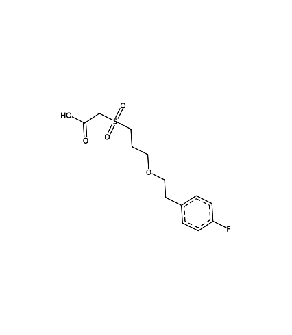 O=C(O)CS(=O)(=O)CCCOCCc1ccc(F)cc1